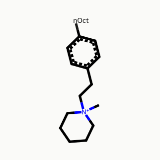 CCCCCCCCc1ccc(CC[N+]2(C)CCCCC2)cc1